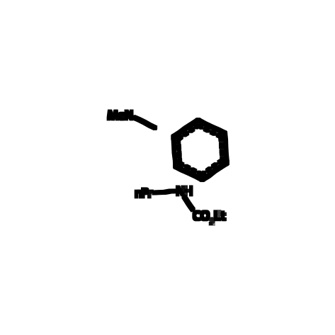 CCCNC(=O)OCC.CNC.c1ccccc1